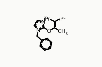 CC(Oc1nccn1Cc1ccccc1)=C(C(C)C)C(C)C